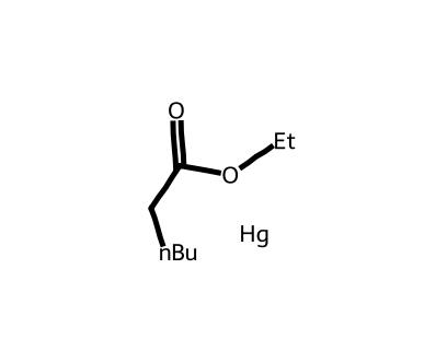 CCCCCC(=O)OCC.[Hg]